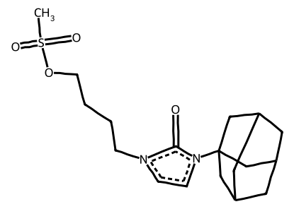 CS(=O)(=O)OCCCCn1ccn(C23CC4CC(CC(C4)C2)C3)c1=O